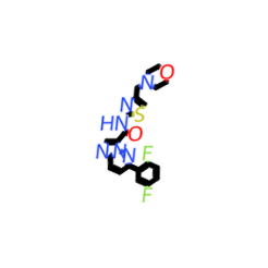 O=C(Nc1nc(CN2CCOCC2)cs1)c1cnc2ccc(-c3cc(F)ccc3F)nn12